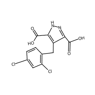 O=C(O)c1n[nH]c(C(=O)O)c1Cc1ccc(Cl)cc1Cl